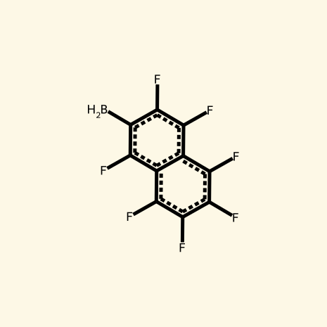 Bc1c(F)c(F)c2c(F)c(F)c(F)c(F)c2c1F